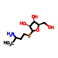 NC(CCSC1O[C@H](CO)[C@@H](O)[C@H]1O)C(=O)O